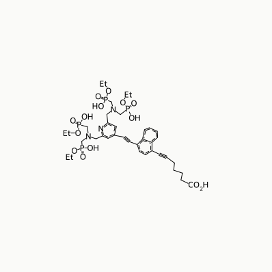 CCOP(=O)(O)CN(Cc1cc(C#Cc2ccc(C#CCCCCC(=O)O)c3ccccc23)cc(CN(CP(=O)(O)OCC)CP(=O)(O)OCC)n1)CP(=O)(O)OCC